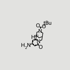 CC(C)(C)OC(=O)N1CC2C[C@@H](C1)c1cc(N)cc(=O)n1C2